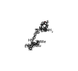 CC[C@@H](NC(=O)[C@@H]1C[C@H](NCCOCCOCCC(=O)N(C)CCn2nc3c(c2C#N)-c2cnc(N)c(n2)O[C@H](C)c2cc(F)ccc2C(=O)N(C)C3)CN1C(=O)[C@@H](NC(=O)[C@H](C)NC)C(C)(C)C)c1ccccc1